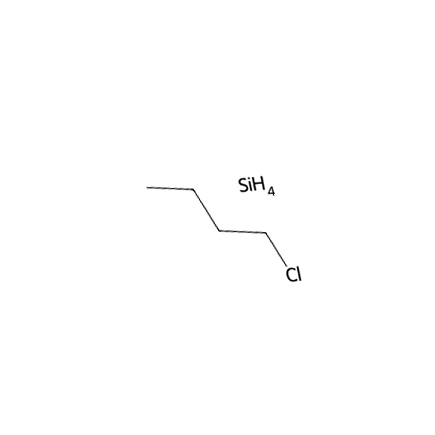 CCCCCl.[SiH4]